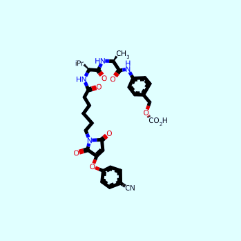 CC(C)[C@H](NC(=O)CCCCCN1C(=O)C=C(Oc2ccc(C#N)cc2)C1=O)C(=O)N[C@@H](C)C(=O)Nc1ccc(COC(=O)O)cc1